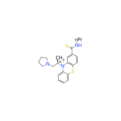 CCCNC(=S)c1ccc2c(c1)N([C@H](C)CN1CCCC1)c1ccccc1S2